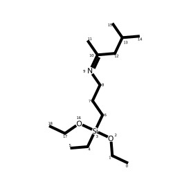 CCO[Si](CC)(CCCN=C(C)CC(C)C)OCC